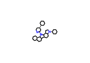 c1ccc(-c2ccnc(-n3c4c5ccccc5ccc4c4ccc5c(ccn5-c5ccccc5)c43)c2)cc1